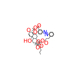 CCCC1OC2CC3C4CCC5=CC(=O)C=CC5(C)C4C(O)CC3(C)[C@]2(C(=O)COC(=O)CCc2ccccc2/N=N/c2ccc3c(c2)C(=O)OC(C)(C)O3)O1